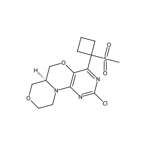 CS(=O)(=O)C1(c2nc(Cl)nc3c2OC[C@@H]2COCCN32)CCC1